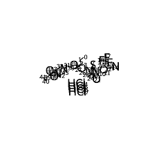 CCc1cc(N2C(=S)N(c3ccc(C#N)c(C(F)(F)F)c3)C(=O)C2(C)C)ccc1OCCN1CCN(OC(=O)C2CC2)CC1.Cl.Cl.Cl.Cl